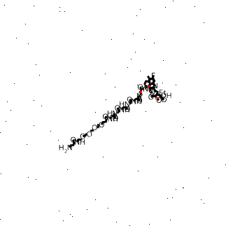 CC[C@]1(O)C(=O)OCc2c1cc1n(c2=O)Cc2c-1nc1cc(F)c(C)c3c1c2[C@H](NC(=O)C1CN(C(=O)CNC(=O)CNC(=O)CNC(=O)CNC(=O)CNC(=O)CCOCCOCCOCCOCCNC(=O)CCN)C1)CC3